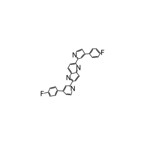 Fc1ccc(-c2ccnc(-c3ccc4nc(-c5cc(-c6ccc(F)cc6)ccn5)ccc4n3)c2)cc1